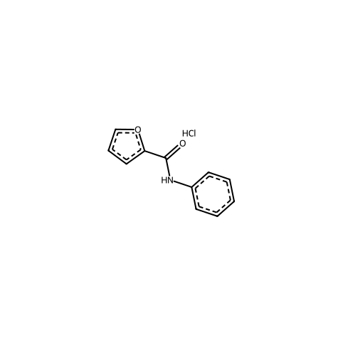 Cl.O=C(Nc1ccccc1)c1ccco1